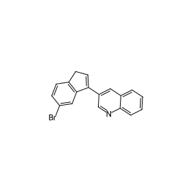 Brc1ccc2c(c1)C(c1cnc3ccccc3c1)=CC2